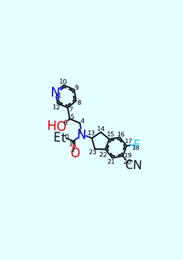 CCC(=O)N(CC(O)c1cccnc1)C1Cc2cc(F)c(C#N)cc2C1